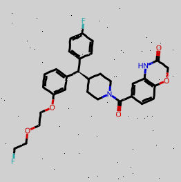 O=C1COc2ccc(C(=O)N3CCC([C@H](c4ccc(F)cc4)c4cccc(OCCOCCF)c4)CC3)cc2N1